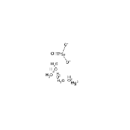 O.O.O.O.O.O.O=[Se]([O-])[O-].[Mg+2]